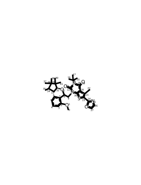 COc1ccccc1C(Cn1c(=O)n(C(C)(C)C)c(=O)c2c(C)c(-c3ncco3)sc21)O[C@H]1CC(C)C(C)(C)C1(C)C